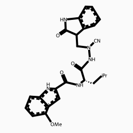 COc1cccc2[nH]c(C(=O)N[C@@H](CC(C)C)C(=O)NN(C#N)CC3C(=O)Nc4ccccc43)cc12